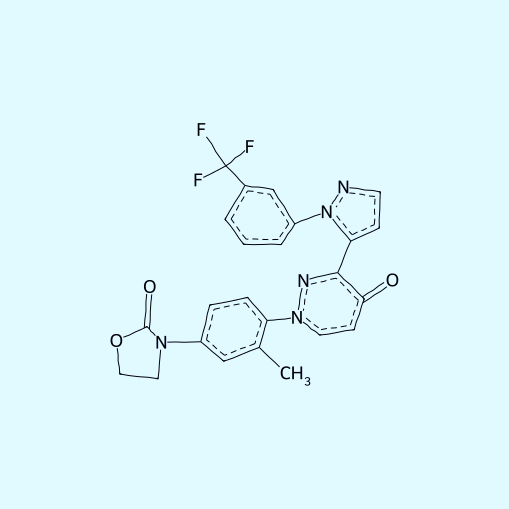 Cc1cc(N2CCOC2=O)ccc1-n1ccc(=O)c(-c2ccnn2-c2cccc(C(F)(F)F)c2)n1